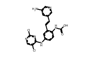 Nc1cncc(C=Cc2cc(Nc3nc(Cl)ncc3Cl)ccc2NC(=O)O)c1